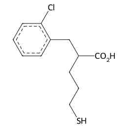 O=C(O)C(CCCS)Cc1ccccc1Cl